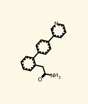 NC(=O)Cc1ccccc1-c1ccc(-c2cccnc2)cc1